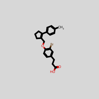 Cc1ccc(C2=C(COc3ccc(CCC(=O)O)cc3Br)CCC2)cc1